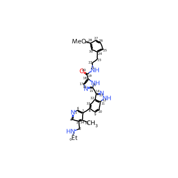 CCNCc1cncc(-c2ccc3[nH]nc(-c4ncc(C(=O)NCCc5cccc(OC)c5)[nH]4)c3c2)c1C